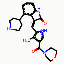 Cc1c(C(=O)N2CCOCC2)c[nH]c1/C=C1\C(=O)Nc2cccc(C3CCNCC3)c21